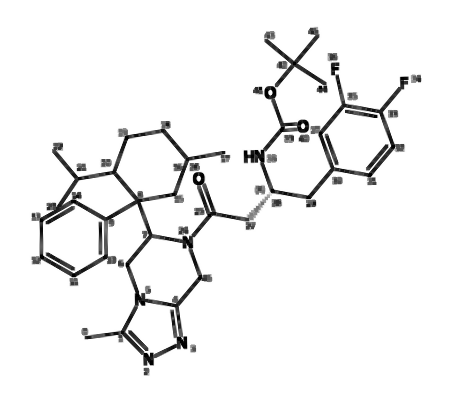 Cc1nnc2n1CC(C1(c3ccccc3)CC(C)CCC1C(C)C)N(C(=O)C[C@@H](Cc1ccc(F)c(F)c1)NC(=O)OC(C)(C)C)C2